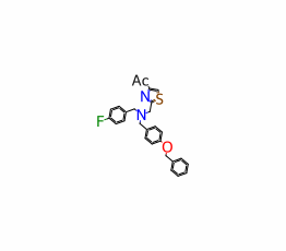 CC(=O)c1csc(CN(Cc2ccc(F)cc2)Cc2ccc(OCc3ccccc3)cc2)n1